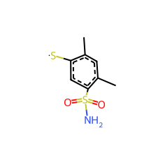 Cc1cc(C)c(S(N)(=O)=O)cc1[S]